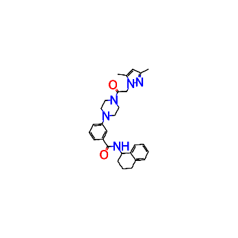 Cc1cc(C)n(CC(=O)N2CCN(c3cccc(C(=O)NC4CCCc5ccccc54)c3)CC2)n1